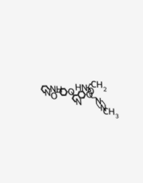 C=CC(=O)Nc1cc2c(Oc3ccc(C(=O)Nc4ccccn4)cc3)ccnc2cc1OCCN1CCN(C)CC1